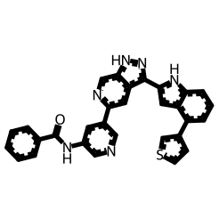 O=C(Nc1cncc(-c2cc3c(-c4cc5c(-c6ccsc6)cccc5[nH]4)n[nH]c3cn2)c1)c1ccccc1